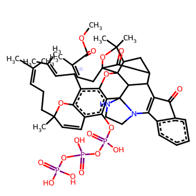 COC(=O)/C(C)=C\CC12OC(C)(C)C3CC(C1=O)C1C4=C(c5ccccc5C4=O)N4CCNC45c4c(OP(=O)(O)OP(=O)(O)OP(=O)(O)O)c6c(c(CC=C(C)C)c4OC32C15)OC(C)(CCC=C(C)C)C=C6